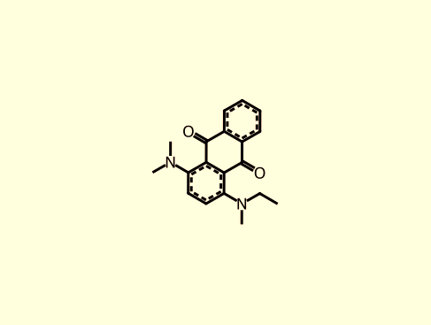 CCN(C)c1ccc(N(C)C)c2c1C(=O)c1ccccc1C2=O